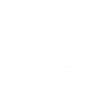 C#CCCCCCOc1ccccc1